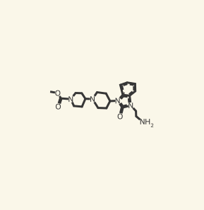 COC(=O)N1CCC(N2CCC(n3c(=O)n(CCN)c4ccccc43)CC2)CC1